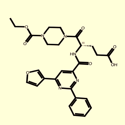 CCOC(=O)N1CCN(C(=O)[C@H](CCC(=O)O)NC(=O)c2cc(-c3ccoc3)nc(-c3ccccc3)n2)CC1